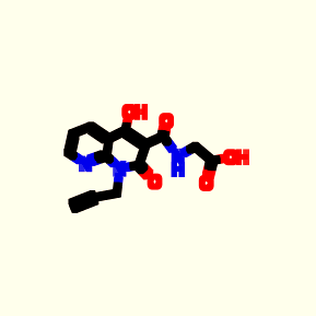 C#CCn1c(=O)c(C(=O)NCC(=O)O)c(O)c2cccnc21